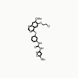 COc1cc2ncnc(Sc3cccc(NC(=O)Nc4cc(C(C)(C)C)on4)c3)c2cc1OCCCl